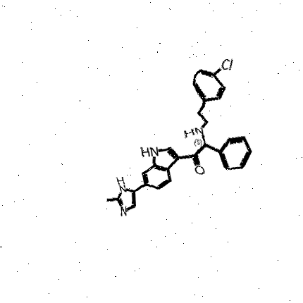 Cc1ncc(-c2ccc3c(C(=O)[C@@H](NCCc4ccc(Cl)cc4)c4ccccc4)c[nH]c3c2)[nH]1